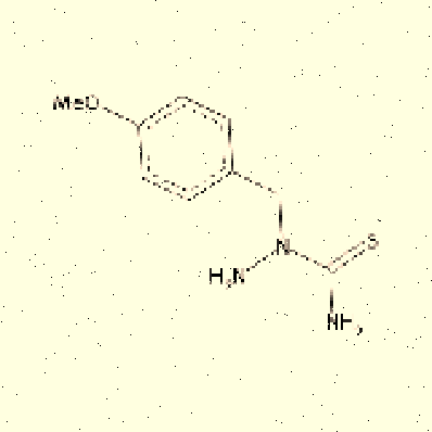 COc1ccc(CN(N)C(N)=S)cc1